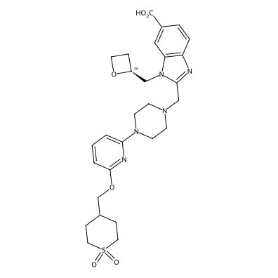 O=C(O)c1ccc2nc(CN3CCN(c4cccc(OCC5CCS(=O)(=O)CC5)n4)CC3)n(C[C@@H]3CCO3)c2c1